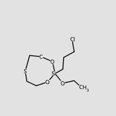 CCO[Si]1(CCCCl)OCCSCCO1